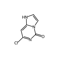 O=c1nc(Cl)cc2[nH]ccn12